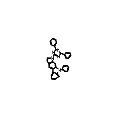 c1ccc(-c2nc(-c3ccccc3)nc(-n3ccc4cc5c6ccccc6n(-c6ccccc6)c5cc43)n2)cc1